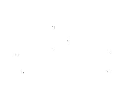 c1ccc2c(c1)Nc1ncccc1-c1nc(NCc3ccnc4c3CCN4)ncc1-2